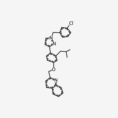 CC(C)Cc1cc(OCc2ccc3ccccc3n2)ccc1-c1ccn(Cc2cccc(Cl)c2)n1